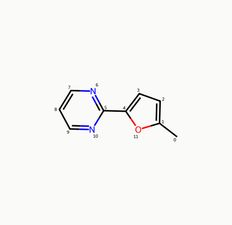 Cc1ccc(-c2ncccn2)o1